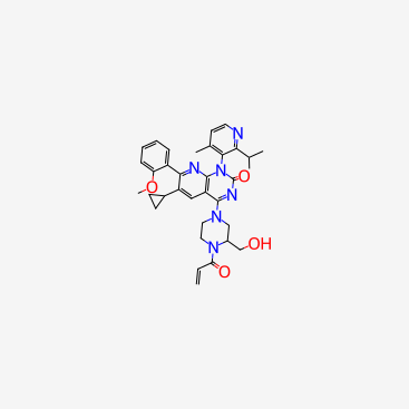 C=CC(=O)N1CCN(c2nc(=O)n(-c3c(C)ccnc3C(C)C)c3nc(-c4ccccc4OC)c(C4CC4)cc23)CC1CO